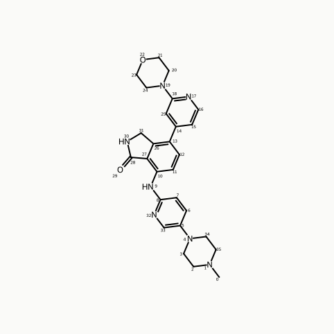 CN1CCN(c2ccc(Nc3ccc(-c4ccnc(N5CCOCC5)c4)c4c3C(=O)NC4)nc2)CC1